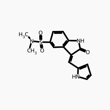 CN(C)S(=O)(=O)c1ccc2c(c1)C(=Cc1ccc[nH]1)C(=O)N2